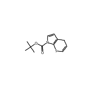 CC(C)(C)OC(=O)n1ccc2c1SC=CC2